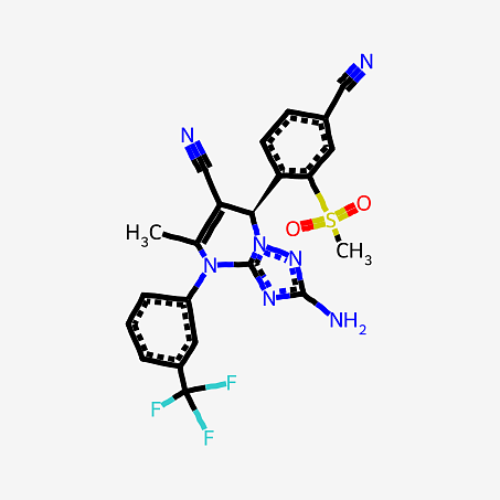 CC1=C(C#N)[C@@H](c2ccc(C#N)cc2S(C)(=O)=O)n2nc(N)nc2N1c1cccc(C(F)(F)F)c1